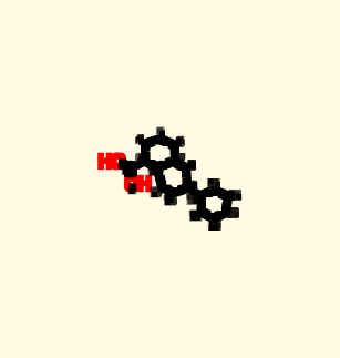 OB(O)c1cccc2cc(-c3ccccc3)ccc12